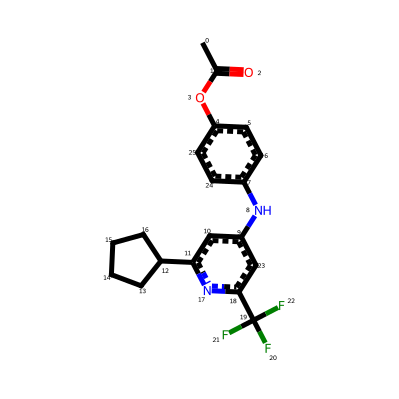 CC(=O)Oc1ccc(Nc2cc(C3CCCC3)nc(C(F)(F)F)c2)cc1